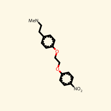 CNCCc1ccc(OCCOc2ccc([N+](=O)[O-])cc2)cc1